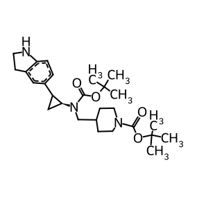 CC(C)(C)OC(=O)N1CCC(CN(C(=O)OC(C)(C)C)[C@H]2CC2c2ccc3c(c2)CCN3)CC1